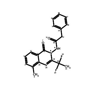 Cc1cccc2c(=O)n(NC(=O)Cc3ccccc3)c(C(C)(F)F)nc12